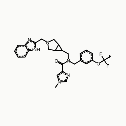 Cn1cnc(C(=O)N(Cc2cccc(OC(F)(F)F)c2)CC2C3CN(Cc4nc5ccccc5[nH]4)CC32)c1